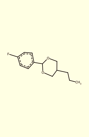 CCCC1COC(c2ccc(F)cc2)OC1